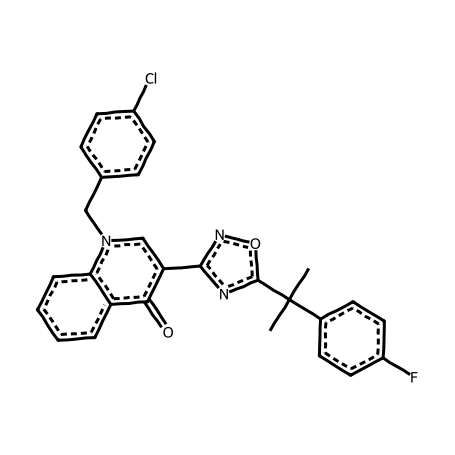 CC(C)(c1ccc(F)cc1)c1nc(-c2cn(Cc3ccc(Cl)cc3)c3ccccc3c2=O)no1